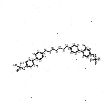 Cc1cc(OC(F)(F)F)ccc1-c1ccc(CCCCCCCc2ccc(-c3ccc(OC(F)(F)F)cc3C)cc2)cc1